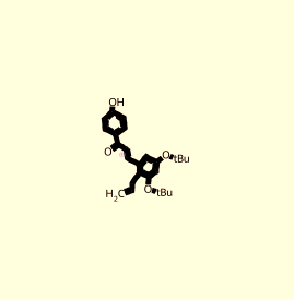 C=CCc1c(/C=C/C(=O)c2ccc(O)cc2)cc(OC(C)(C)C)cc1OC(C)(C)C